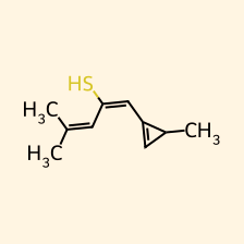 CC(C)=C/C(S)=C\C1=CC1C